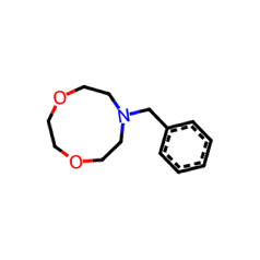 c1ccc(CN2CCOCCOCC2)cc1